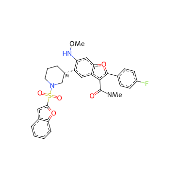 CNC(=O)c1c(-c2ccc(F)cc2)oc2cc(NOC)c([C@H]3CCCN(S(=O)(=O)c4cc5ccccc5o4)C3)cc12